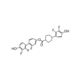 O=C(Oc1ccc(-c2ccc(O)c(F)c2F)c(F)c1)C1CCC(c2ccc(O)c(F)c2F)CC1